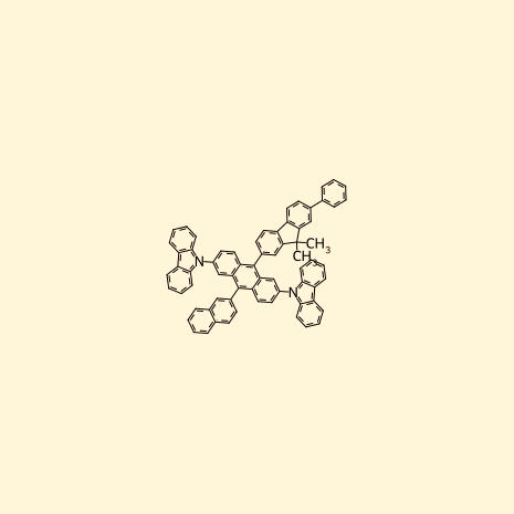 CC1(C)c2cc(-c3ccccc3)ccc2-c2ccc(-c3c4ccc(-n5c6ccccc6c6ccccc65)cc4c(-c4ccc5ccccc5c4)c4ccc(-n5c6ccccc6c6ccccc65)cc34)cc21